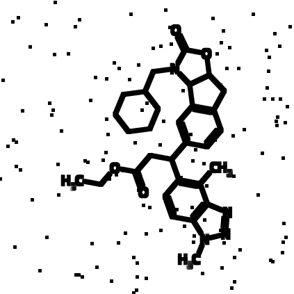 CCOC(=O)CC(c1ccc2c(c1)C1C(C2)OC(=O)N1CC1CCCCC1)c1ccc2c(nnn2C)c1C